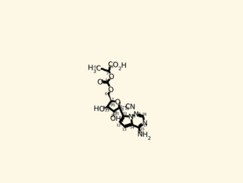 CC(OC(=O)OC[C@H]1O[C@@](C#N)(c2ccc3c(N)ncnn23)[C@H](O)[C@@H]1O)C(=O)O